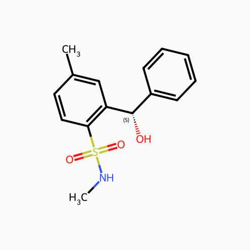 CNS(=O)(=O)c1ccc(C)cc1[C@@H](O)c1ccccc1